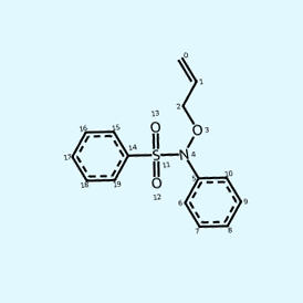 C=CCON(c1ccccc1)S(=O)(=O)c1ccccc1